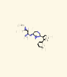 C=C1\C=C/C(c2c[nH]nc2-c2cccc(C)n2)=C/C=C/C1=C/C(=C\C)C/C(=C/[C@H](C)CC)CCC